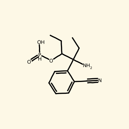 CCC(O[PH](=O)O)C(N)(CC)c1ccccc1C#N